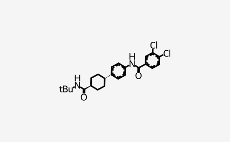 CC(C)(C)NC(=O)[C@H]1CC[C@H](c2ccc(NC(=O)c3ccc(Cl)c(Cl)c3)cc2)CC1